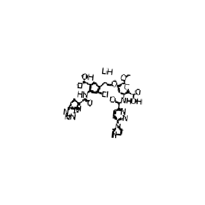 COc1cc(C(=O)O)c(NC(=O)c2ccc(-n3ccnc3)nn2)cc1OCCc1cc(C(=O)O)c(NC(=O)c2ccc3nnnn3n2)cc1Cl.[LiH]